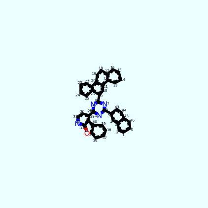 c1ccc2cc(-c3nc(-c4cc5c6ccccc6ccc5c5ccccc45)nc(-c4ccnc5oc6ccccc6c45)n3)ccc2c1